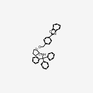 c1ccc(C(N[C@H]2CCC[C@@H]2OCc2ccc(-c3nc4ccccc4o3)cc2)(c2ccccc2)c2ccccc2)cc1